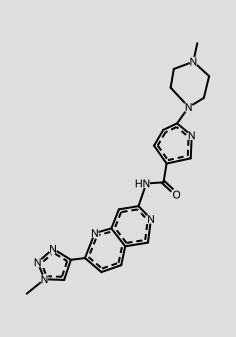 CN1CCN(c2ccc(C(=O)Nc3cc4nc(-c5cn(C)nn5)ccc4cn3)cn2)CC1